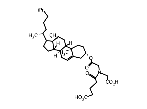 CC(C)CCC[C@@H](C)C1CC[C@H]2[C@@H]3CC=C4C[C@@H](OC(=O)CN(CC(=O)O)C(=O)CCCC(=O)O)CC[C@]4(C)[C@H]3CC[C@]12C